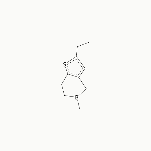 CCc1cc2c(s1)CCB(C)C2